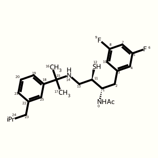 CC(=O)N[C@@H](Cc1cc(F)cc(F)c1)[C@H](S)CNC(C)(C)c1cccc(CC(C)C)c1